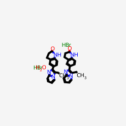 Br.Br.CCc1c(-c2ccc3c(c2)CCC(=O)N3)nc2ccccn12.CCc1c(-c2ccc3c(c2)CCC(=O)N3)nc2ccccn12.O